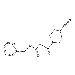 N#CC1CCN(C(=O)CC(=O)OCc2ccccc2)CC1